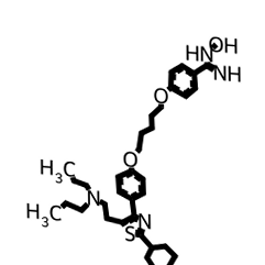 CCCN(CCC)CCc1sc(C2CCCCC2)nc1-c1ccc(OCCCCCOc2ccc(C(=N)NO)cc2)cc1